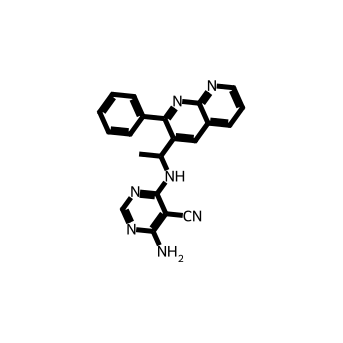 CC(Nc1ncnc(N)c1C#N)c1cc2cccnc2nc1-c1ccccc1